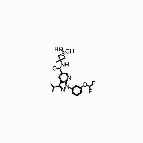 CC(C)c1nn(-c2cccc(OC(F)F)c2)c2ncc(C(=O)NC3(C)CS(O)(O)C3)cc12